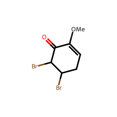 COC1=CCC(Br)C(Br)C1=O